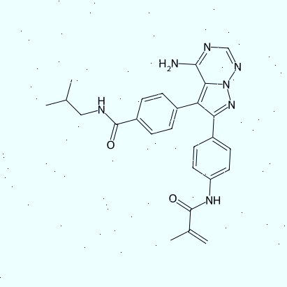 C=C(C)C(=O)Nc1ccc(-c2nn3ncnc(N)c3c2-c2ccc(C(=O)NCC(C)C)cc2)cc1